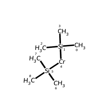 C[Si](C)(C)[Cr][Si](C)(C)C